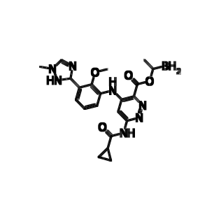 BC(C)OC(=O)c1nnc(NC(=O)C2CC2)cc1Nc1cccc(C2N=CN(C)N2)c1OC